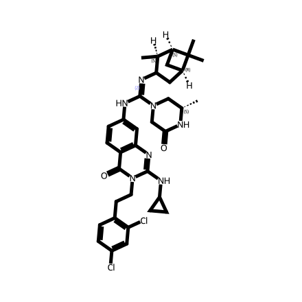 C[C@@H]1C(/N=C(/Nc2ccc3c(=O)n(CCc4ccc(Cl)cc4Cl)c(NC4CC4)nc3c2)N2CC(=O)N[C@@H](C)C2)C[C@H]2C[C@@H]1C2(C)C